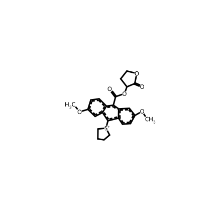 COc1ccc2c([S+]3CCCC3)c3cc(OC)ccc3c(C(=O)OC3CCOC3=O)c2c1